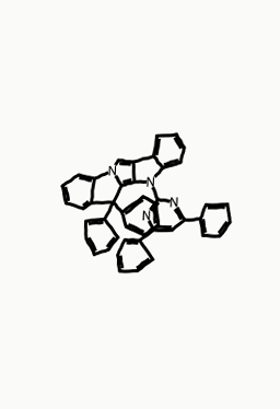 c1ccc(-c2cc(-c3ccccc3)nc(-n3c4ccccc4c4cn5c(c43)C(c3ccccc3)(c3ccccc3)c3ccccc3-5)n2)cc1